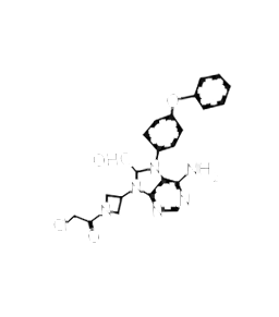 Nc1ncnc2c1N(c1ccc(Oc3ccccc3)cc1)C(C=O)N2C1CN(C(=O)CCl)C1